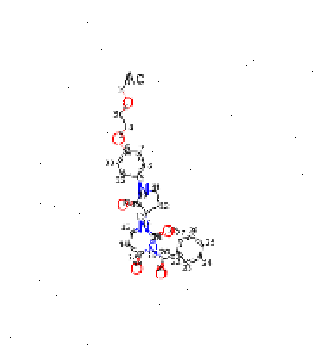 CC(=O)COCCOc1ccc(N2CCC(n3ccc(=O)n(C(=O)c4ccccc4)c3=O)C2=O)cc1